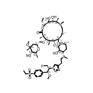 CC[C@H]1OC(=O)[C@H](C)[C@@H](OC[C@H]2C[C@@](C)(OC)[C@@H](O)[C@H](C)O2)[C@H](C)[C@@H](O[C@@H]2O[C@H](C)C[C@H](N(C)CCc3cn([C@H](CF)[C@H](OC)c4ccc(S(=O)(=O)CC)cc4)nn3)[C@H]2O)[C@](C)(O)C[C@@H](C)CN(C)[C@H](C)[C@@H](O)[C@]1(C)O